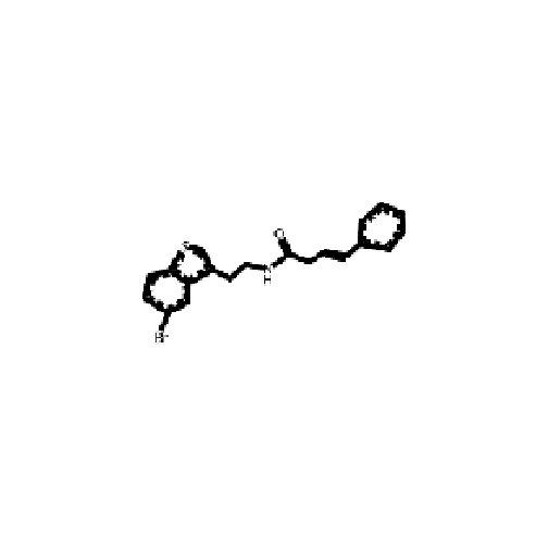 O=C(C/C=C/c1ccccc1)NCCc1csc2ccc(Br)cc12